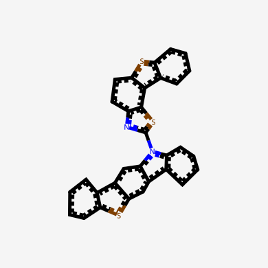 c1ccc2c(c1)sc1cc3c4ccccc4n(-c4nc5ccc6sc7ccccc7c6c5s4)c3cc12